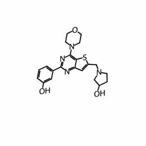 Oc1cccc(-c2nc(N3CCOCC3)c3sc(CN4CCC(O)C4)cc3n2)c1